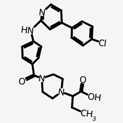 CCC(C(=O)O)N1CCN(C(=O)c2ccc(Nc3cc(-c4ccc(Cl)cc4)ccn3)cc2)CC1